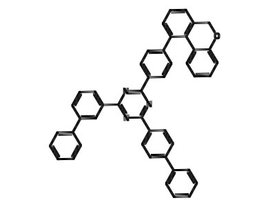 c1ccc(-c2ccc(-c3nc(-c4ccc(-c5cccc6c5-c5ccccc5OC6)cc4)nc(-c4cccc(-c5ccccc5)c4)n3)cc2)cc1